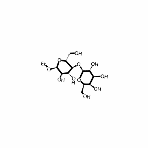 CCO[C@H]1O[C@H](CO)[C@@H](O[C@@H]2O[C@H](CO)[C@H](O)[C@H](O)[C@H]2O)[C@H](O)[C@H]1O